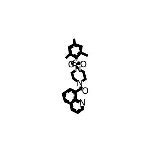 Cc1cc(C)c(S(=O)(=O)N2CCN(C(=O)c3cccc4cccnc34)CC2)c(C)c1